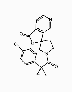 O=C1OC2(CCN(C(=O)C3(c4ccc(Cl)cc4)CC3)C2)c2cnccc21